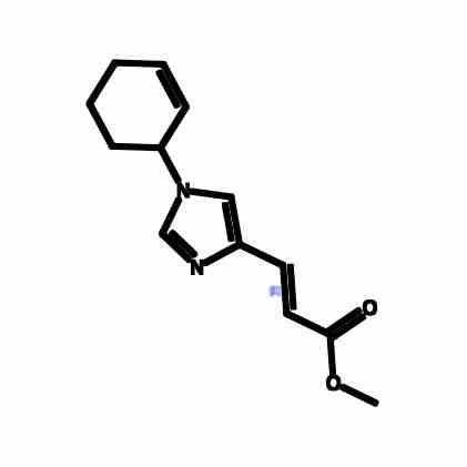 COC(=O)/C=C/c1cn(C2C=CCCC2)cn1